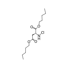 CCCCCOC(=O)C[C@H](NCl)C(=O)OCCCCC